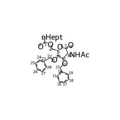 CCCCCCCC(=O)OC[C@H]1OC(=O)[C@H](NC(C)=O)[C@@H](OCc2ccccc2)[C@@H]1OCc1ccccc1